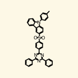 Cc1ccc(-n2c3ccccc3c3cc(S(=O)(=O)c4ccc(-c5nc(-c6ccccc6)nc(-c6ccccc6)n5)cc4)ccc32)cc1